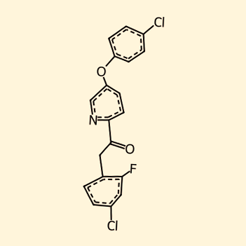 O=C(Cc1ccc(Cl)cc1F)c1ccc(Oc2ccc(Cl)cc2)cn1